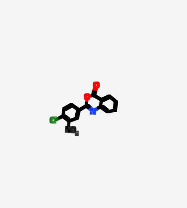 O=c1oc(-c2ccc(Cl)c([N+](=O)[O-])c2)nc2ccccc12